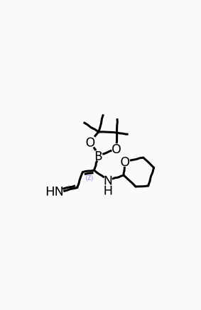 CC1(C)OB(/C(=C/C=N)NC2CCCCO2)OC1(C)C